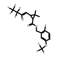 CC1(C)C(C=C(Cl)C(F)(F)C(F)(F)F)C1C(=O)OCc1cc(OC(F)(F)F)ccc1F